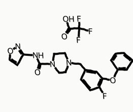 O=C(Nc1ccon1)N1CCN(Cc2ccc(F)c(Oc3ccccc3)c2)CC1.O=C(O)C(F)(F)F